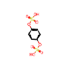 O=S(=O)(O)Oc1ccc(OS(=O)(=O)O)cc1